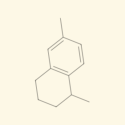 Cc1ccc2c(c1)CCCC2C